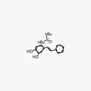 CCCC[S+]([O-])CCCC.Oc1ccc(/C=C/c2ccccc2)cc1O